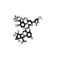 Cn1nc(C(F)(F)F)cc1-c1cc(=O)n(-c2ccc(Cl)c3c(NS(C)(=O)=O)nn(C)c23)c([C@H](Cc2cc(F)cc(F)c2)NC(=O)Cn2nc(C(F)F)c3c2C(F)(F)[C@@H]2C[C@H]32)n1